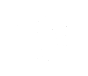 CC1(C)Oc2ccc(S(=O)(=O)N3CCCCC3)cc2[C@@H](n2oc3cc(Cl)ccc3c2=O)[C@@H]1O